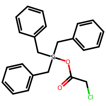 O=C(CCl)O[Si](Cc1ccccc1)(Cc1ccccc1)Cc1ccccc1